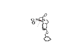 COC(=O)[C@@H]1[C@@H](C)C[C@@]23c4ccc(OCc5ccccc5)cc4CCN2C(=O)C[C@@H]13